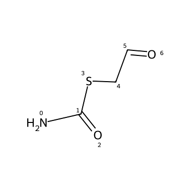 NC(=O)SCC=O